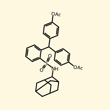 CC(=O)Oc1ccc(C(c2ccc(OC(C)=O)cc2)c2ccccc2S(=O)(=O)NC2C3CC4CC(C3)CC2C4)cc1